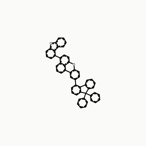 c1ccc(C2(c3ccccc3)c3ccccc3-c3c(-c4ccc5c(c4)-c4cccc6c(-c7cccc8oc9ccccc9c78)ccc(c46)O5)cccc32)cc1